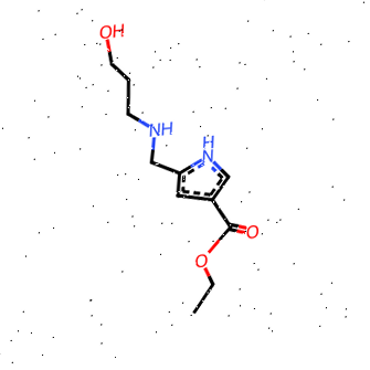 CCOC(=O)c1c[nH]c(CNCCCO)c1